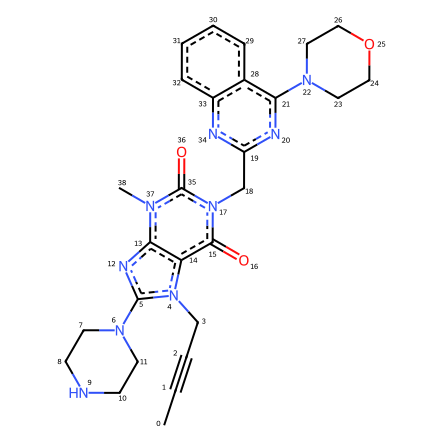 CC#CCn1c(N2CCNCC2)nc2c1c(=O)n(Cc1nc(N3CCOCC3)c3ccccc3n1)c(=O)n2C